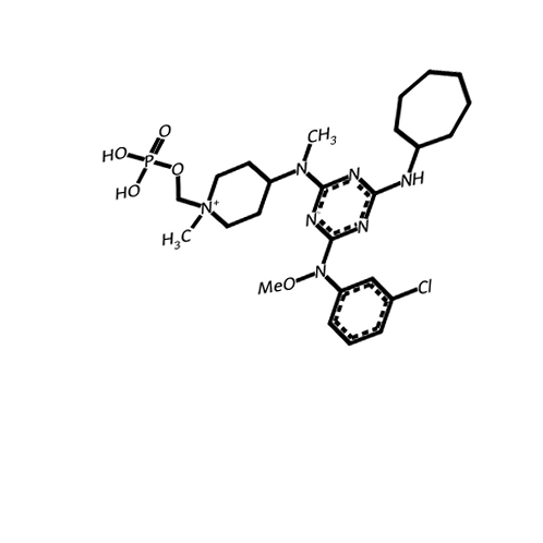 CON(c1cccc(Cl)c1)c1nc(NC2CCCCCC2)nc(N(C)C2CC[N+](C)(COP(=O)(O)O)CC2)n1